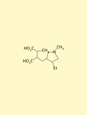 CCC1CN(C)CC1CC(C(=O)O)C(C)C(=O)O